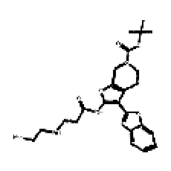 CC(C)(C)OC(=O)N1CCc2c(sc(NC(=O)CCNCCO)c2-c2nc3ccccc3s2)C1